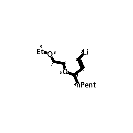 [Li][CH]=CC(CCCCC)OCCOCC